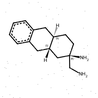 NC[C@@]1(N)CC[C@@H]2Cc3ccccc3C[C@H]2C1